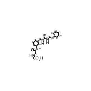 O=C(O)NCC(=O)Nc1cccc(CNC(=S)NCCc2ccccc2)c1